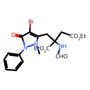 CCOC(=O)CC(Cc1c(Br)c(=O)n(-c2ccccc2)n1C)(NC=O)C(=O)OCC